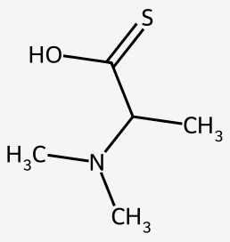 CC(C(O)=S)N(C)C